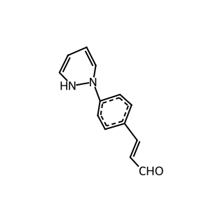 O=CC=Cc1ccc(N2C=CC=CN2)cc1